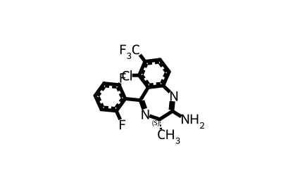 C[C@@H]1N=C(c2c(F)cccc2F)c2c(ccc(C(F)(F)F)c2Cl)N=C1N